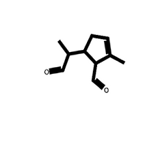 CC1=CCC(C(C)C=O)C1C=O